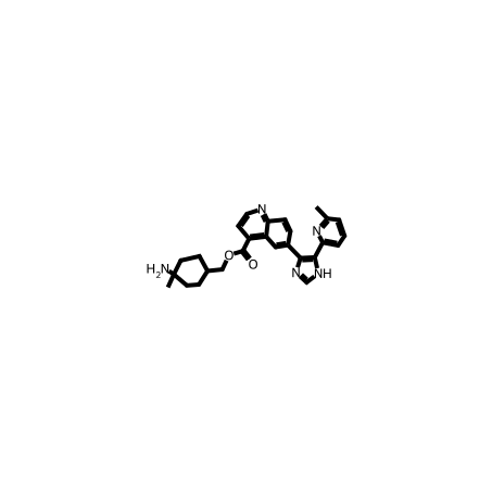 Cc1cccc(-c2[nH]cnc2-c2ccc3nccc(C(=O)OCC4CCC(C)(N)CC4)c3c2)n1